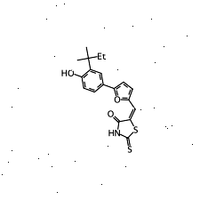 CCC(C)(C)c1cc(-c2ccc(C=C3SC(=S)NC3=O)o2)ccc1O